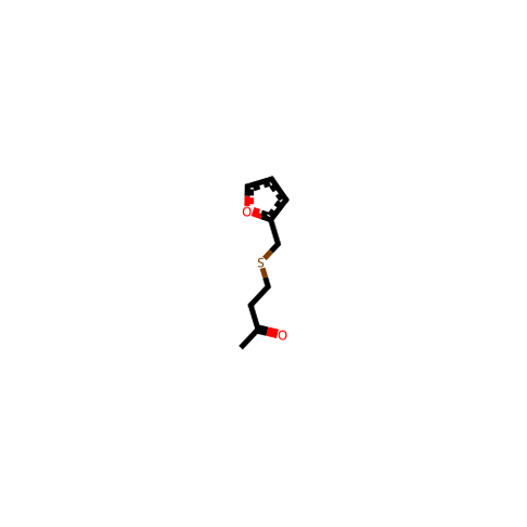 CC(=O)CCSCc1ccco1